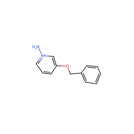 N[n+]1[c]c(OCc2ccccc2)ccc1